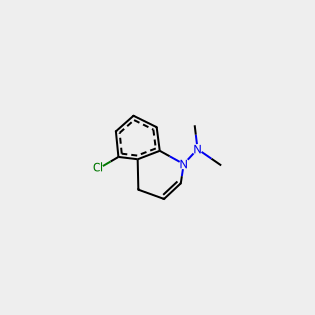 CN(C)N1C=CCc2c(Cl)cccc21